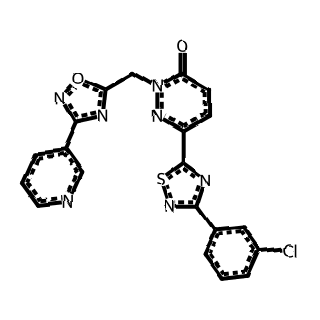 O=c1ccc(-c2nc(-c3cccc(Cl)c3)ns2)nn1Cc1nc(-c2cccnc2)no1